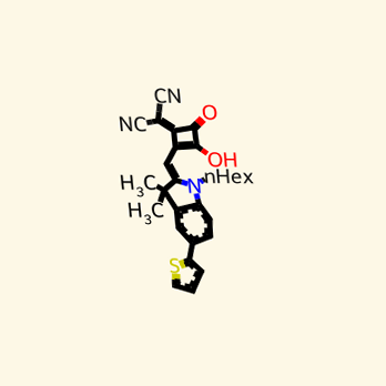 CCCCCCN1C(=CC2=C(O)C(=O)C2=C(C#N)C#N)C(C)(C)c2cc(-c3cccs3)ccc21